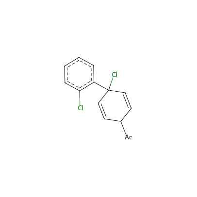 CC(=O)C1C=CC(Cl)(c2ccccc2Cl)C=C1